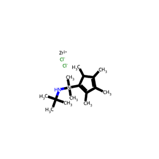 CC1=C(C)C(C)C([Si](C)(C)NC(C)(C)C)=C1C.[Cl-].[Cl-].[Zr+2]